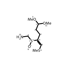 COC(CC/C(=C/SC)[S+]([O-])CN)OC